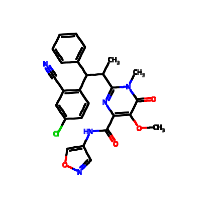 COc1c(C(=O)Nc2cnoc2)nc(C(C)C(c2ccccc2)c2ccc(Cl)cc2C#N)n(C)c1=O